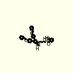 O=C(NCCCCc1n[nH]c2cc(-c3ccc(OCc4ccccc4)cc3)c(-c3ccc(OCc4ccccc4)cc3)cc12)c1ccccc1O